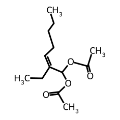 CCCCC=C(CC)C(OC(C)=O)OC(C)=O